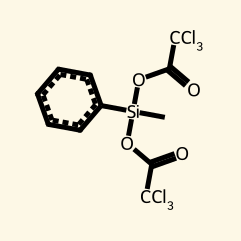 C[Si](OC(=O)C(Cl)(Cl)Cl)(OC(=O)C(Cl)(Cl)Cl)c1ccccc1